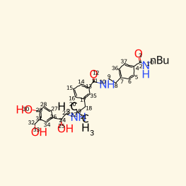 CCCCNC(=O)c1ccc(CCNC(=O)c2cccc(CC(C)(C)NC[C@@H](O)c3ccc(O)c(CO)c3)c2)cc1